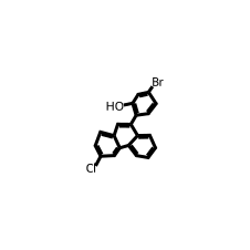 Oc1cc(Br)ccc1-c1cc2ccc(Cl)cc2c2ccccc12